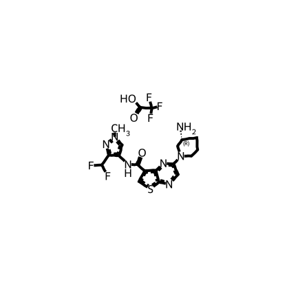 Cn1cc(NC(=O)c2csc3ncc(N4CCC[C@@H](N)C4)nc23)c(C(F)F)n1.O=C(O)C(F)(F)F